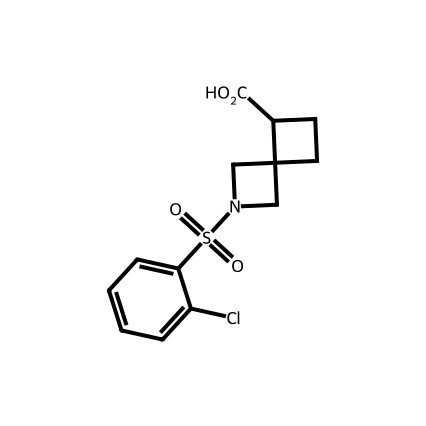 O=C(O)C1CCC12CN(S(=O)(=O)c1ccccc1Cl)C2